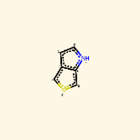 [c]1cc2cscc2[nH]1